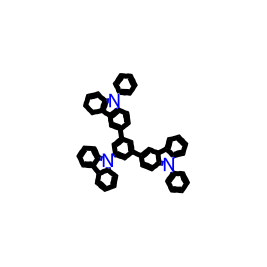 C1=CC2c3ccccc3N(c3cc(C4=CC5c6ccccc6N(c6ccccc6)C5C=C4)cc(-c4ccc5c(c4)c4c(n5-c5ccccc5)C=CCC4)c3)C2C=C1